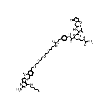 CCCCCNc1nc(N)nc2ccn(Cc3ccc(COCCOCCOCCOCCNC(=O)OCc4ccc(NC(=O)[C@H](CCCNC(N)=O)NC(=O)[C@@H](NC(=O)CN5C(=O)C=CC5=O)C(C)C)cc4)cc3OC)c12